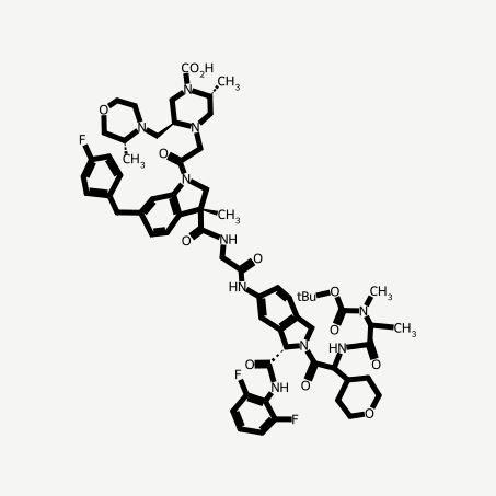 CC(C(=O)NC(C(=O)N1Cc2ccc(NC(=O)CNC(=O)[C@@]3(C)CN(C(=O)CN4C[C@@H](C)N(C(=O)O)C[C@@H]4CN4CCOC[C@H]4C)c4cc(Cc5ccc(F)cc5)ccc43)cc2[C@H]1C(=O)Nc1c(F)cccc1F)C1CCOCC1)N(C)C(=O)OC(C)(C)C